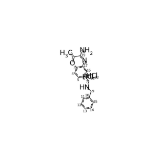 CC1Oc2ccc(CNCc3ccccc3)cc2N=C1N.Cl.Cl